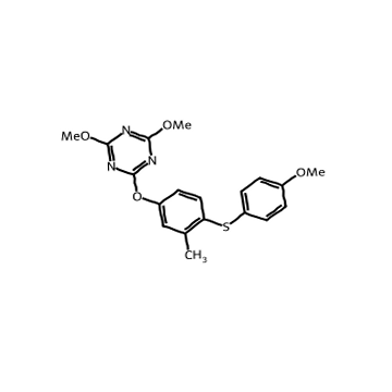 COc1ccc(Sc2ccc(Oc3nc(OC)nc(OC)n3)cc2C)cc1